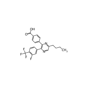 CCCCc1cnc(-c2ccc(C(F)(F)F)c(F)c2)c(-c2ccc(C(=O)O)cc2)n1